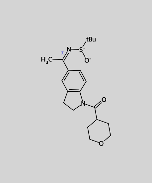 C/C(=N/[S+]([O-])C(C)(C)C)c1ccc2c(c1)CCN2C(=O)C1CCOCC1